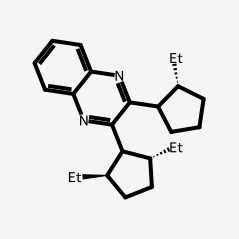 CC[C@@H]1CCCC1c1nc2ccccc2nc1C1[C@H](CC)CC[C@H]1CC